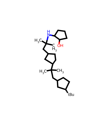 CC(C)(CC1CCC(C(C)(C)CC2CCC(C(C)(C)C)C2)C1)NC1CCCC1O